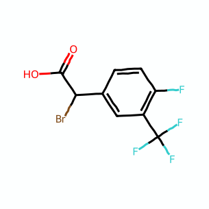 O=C(O)C(Br)c1ccc(F)c(C(F)(F)F)c1